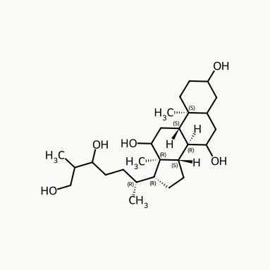 CC(CO)C(O)CC[C@@H](C)[C@H]1CC[C@H]2[C@@H]3C(O)CC4CC(O)CC[C@]4(C)[C@H]3CC(O)[C@]12C